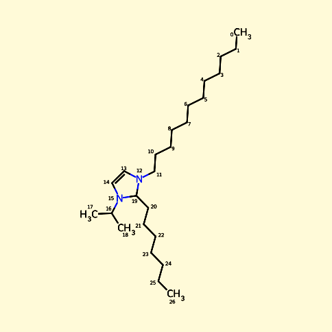 CCCCCCCCCCCCN1C=CN(C(C)C)C1CCCCCCC